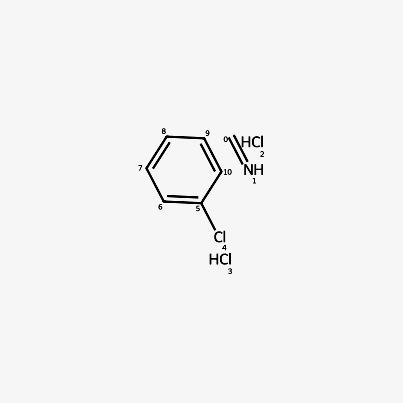 C=N.Cl.Cl.Clc1ccccc1